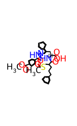 COC(=O)c1ccc(C(=O)Nn2cc(C[C@H](NC(=O)C(CCCc3ccccc3)CSC(C)=O)C(=O)O)c3ccccc32)cc1